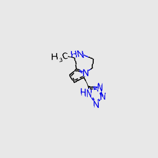 CC1NCCn2c(-c3nnn[nH]3)ccc21